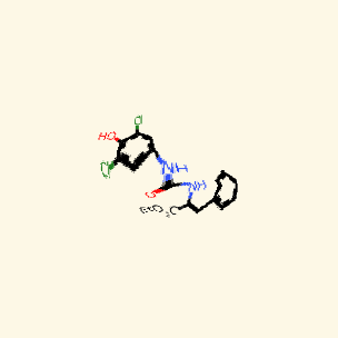 CCOC(=O)C(Cc1ccccc1)NC(=O)Nc1cc(Cl)c(O)c(Cl)c1